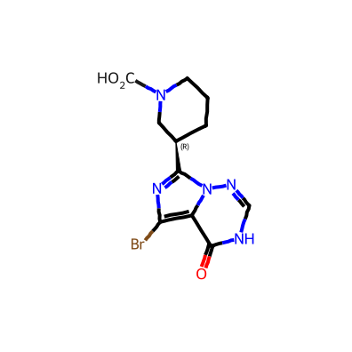 O=C(O)N1CCC[C@@H](c2nc(Br)c3c(=O)[nH]cnn23)C1